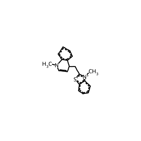 CN1C=CC(Cc2sc3ccccc3[n+]2C)c2ccccc21